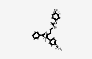 COc1ccc(-c2[nH]c(-c3ccccc3)nc2CCNC(=O)Oc2ccc(C)cc2)cc1